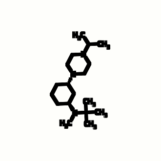 CC(C)N1CCN([C@H]2CCC[C@H](N(C)C(C)(C)C)C2)CC1